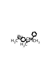 C=C(C/N=C(\C)c1ccccc1)C1(C)C=CC(C(C)C(C)CC)=CC1